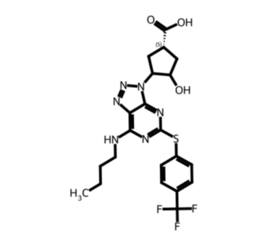 CCCCNc1nc(Sc2ccc(C(F)(F)F)cc2)nc2c1nnn2C1C[C@H](C(=O)O)CC1O